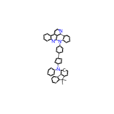 CC1(C)c2ccccc2-c2c(N(c3ccccc3)c3ccc(-c4ccc(N5c6ccccc6-c6nccc7c6c5nc5ccccc57)cc4)cc3)cccc21